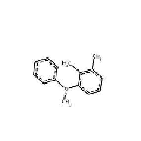 Cc1cccc([SiH](C)c2ccccc2)c1C